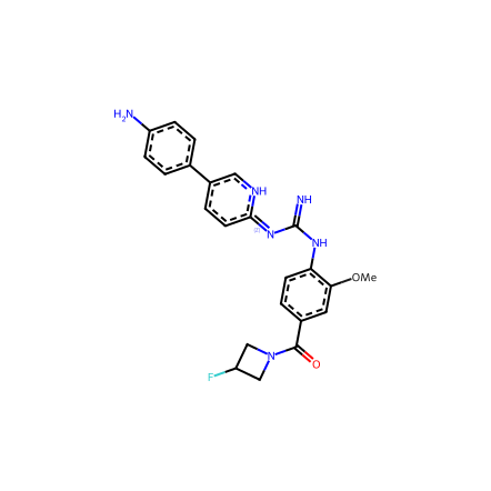 COc1cc(C(=O)N2CC(F)C2)ccc1NC(=N)/N=c1/ccc(-c2ccc(N)cc2)c[nH]1